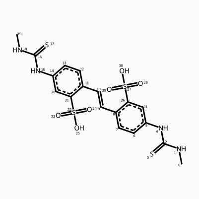 CNC(=S)Nc1ccc(C=Cc2ccc(NC(=S)NC)cc2S(=O)(=O)O)c(S(=O)(=O)O)c1